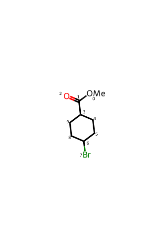 COC(=O)C1CCC(Br)CC1